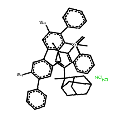 Cl.Cl.[CH2]=[Zr]([CH3])([C]1=CC(C2(C)C3CC4CC(C3)CC2C4)=CC1C)([c]1ccccc1)[c]1c2c(cc(C(C)(C)C)c1-c1ccccc1)-c1cc(C(C)(C)C)c(-c3ccccc3)cc1C2